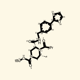 CC(C)C(=O)N1[C@H](C)CN(C(=O)OC(C)(C)C)C[C@@H]1C(=O)NCc1ccc(-c2ncco2)cc1